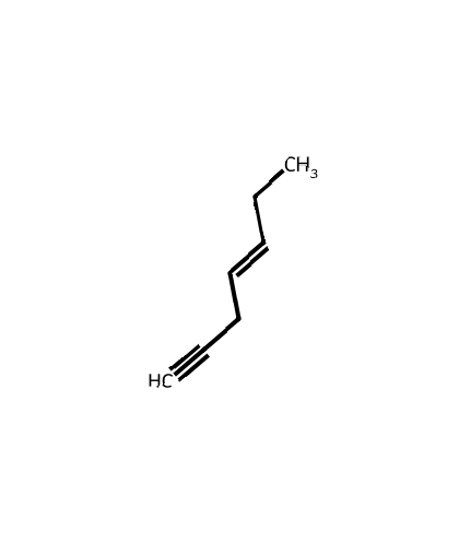 C#CCC=CCC